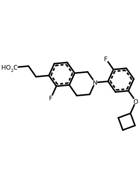 O=C(O)CCc1ccc2c(c1F)CCN(c1cc(OC3CCC3)ccc1F)C2